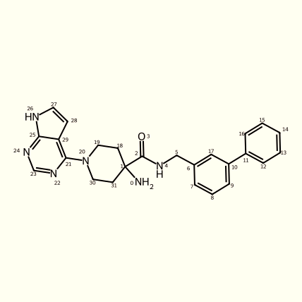 NC1(C(=O)NCc2cccc(-c3ccccc3)c2)CCN(c2ncnc3[nH]ccc23)CC1